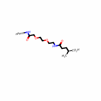 CCCCCNC(=O)COCCOCCNC(=O)CC[C@H](C)C(=O)O